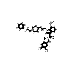 CC(C)Oc1cccc2c(C(=O)NCc3ccc(Cl)c(Cl)c3)cn(CCCN3CCN(CCOc4ccccc4)CC3)c12